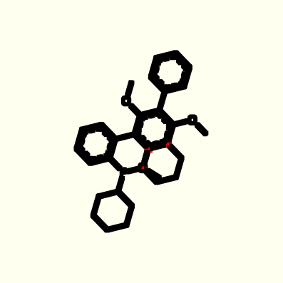 COc1cc(OC)c(-c2ccccc2P(C2CCCCC2)C2CCCCC2)c(OC)c1-c1ccccc1